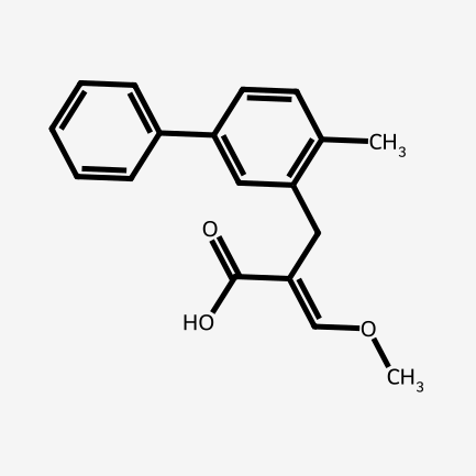 CO/C=C(\Cc1cc(-c2ccccc2)ccc1C)C(=O)O